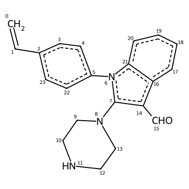 C=Cc1ccc(-n2c(N3CCNCC3)c(C=O)c3ccccc32)cc1